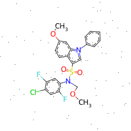 COCN(c1cc(F)c(Cl)cc1F)S(=O)(=O)c1cn(-c2ccccc2)c2cc(OC)ccc12